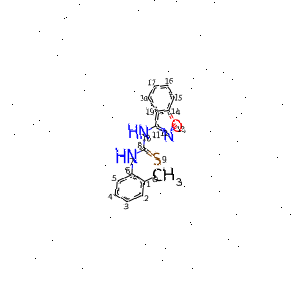 Cc1ccccc1NC(=S)Nc1noc2ccccc12